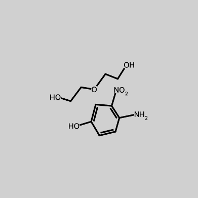 Nc1ccc(O)cc1[N+](=O)[O-].OCCOCCO